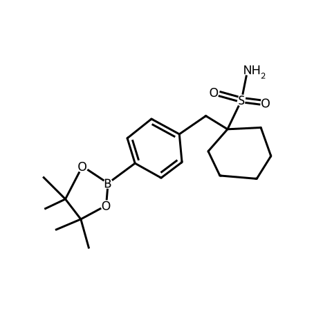 CC1(C)OB(c2ccc(CC3(S(N)(=O)=O)CCCCC3)cc2)OC1(C)C